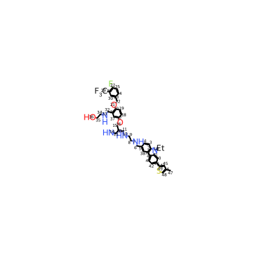 CCn1c2ccc(CNCCN/C=C(\C=N)COc3ccc(OCc4ccc(F)c(C(F)(F)F)c4)c(CNCCO)c3)cc2c2ccc(-c3cc(C)cs3)cc21